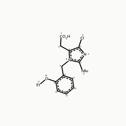 CCCCc1nc(Cl)c(CC(=O)O)n1Cc1ccccc1OCC